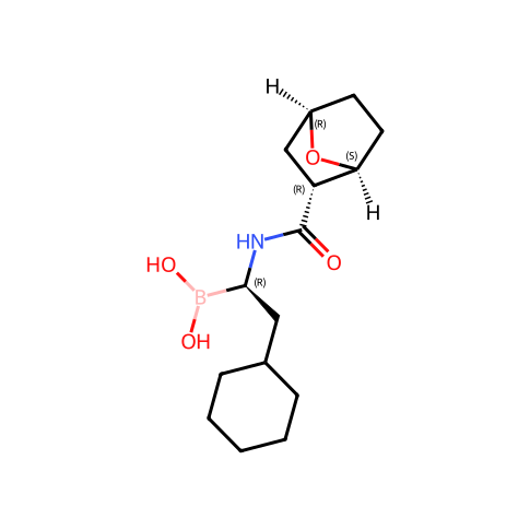 O=C(N[C@@H](CC1CCCCC1)B(O)O)[C@@H]1C[C@H]2CC[C@@H]1O2